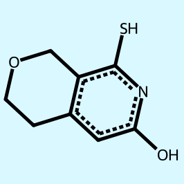 Oc1cc2c(c(S)n1)COCC2